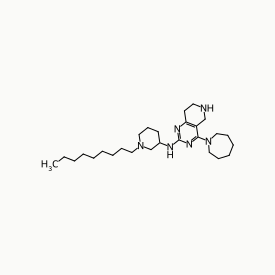 CCCCCCCCCN1CCCC(Nc2nc3c(c(N4CCCCCC4)n2)CNCC3)C1